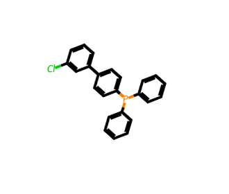 Clc1cccc(-c2ccc(P(c3ccccc3)c3ccccc3)cc2)c1